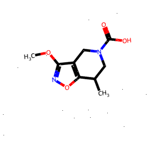 COc1noc2c1CN(C(=O)O)CC2C